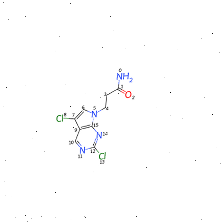 NC(=O)CCn1cc(Cl)c2cnc(Cl)nc21